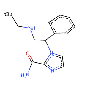 CC(C)(C)CNCC(c1ccccc1)n1c[c]nc1C(N)=O